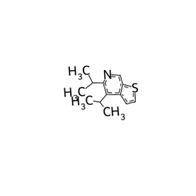 CC(C)c1ncc2sccc2c1C(C)C